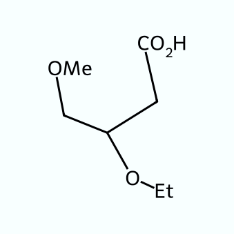 CCOC(COC)CC(=O)O